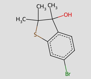 CC1(C)Sc2cc(Br)ccc2C1(C)O